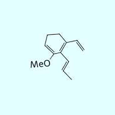 C=CC1=C(C=CC)C(OC)=CCC1